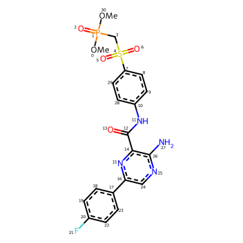 COP(=O)(CS(=O)(=O)c1ccc(NC(=O)c2nc(-c3ccc(F)cc3)cnc2N)cc1)OC